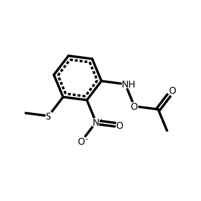 CSc1cccc(NOC(C)=O)c1[N+](=O)[O-]